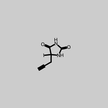 C#CCC1(I)NC(=O)NC1=O